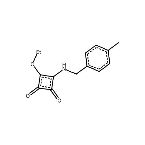 CCOc1c(NCc2ccc(C)cc2)c(=O)c1=O